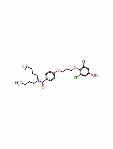 CCCCN(CCCC)C(=O)c1ccc(OCCCOc2c(Cl)cc(O)cc2Cl)cc1